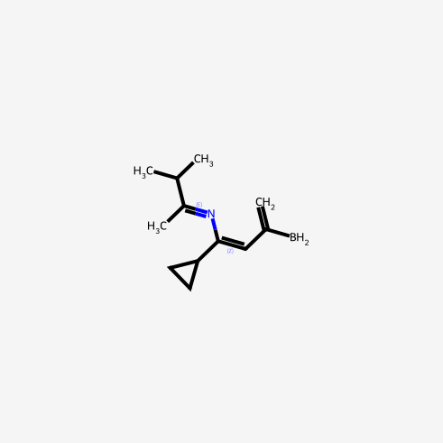 BC(=C)/C=C(\N=C(/C)C(C)C)C1CC1